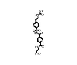 CCCC(=O)NCCc1ccc(S(=O)(=O)NC(=O)c2ccc(C(=O)NCCOC(C)=O)nc2)cc1